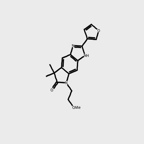 COCCN1C(=O)C(C)(C)c2cc3nc(-c4ccoc4)[nH]c3cc21